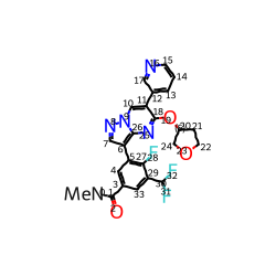 CNC(=O)c1cc(-c2cnn3cc(-c4cccnc4)c(O[C@H]4CCOC4)nc23)c(F)c(C(F)F)c1